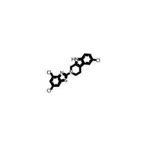 Clc1cc(Cl)c2nc(N3CCc4c([nH]c5ccc(Cl)cc45)C3)sc2c1